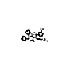 COc1cccc(C(=O)N(CCCN)[C@@H](c2nc3ccccc3n2Cc2ccccc2)C(C)C)c1